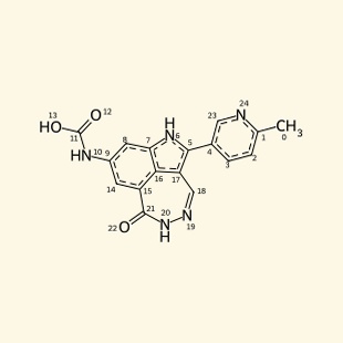 Cc1ccc(-c2[nH]c3cc(NC(=O)O)cc4c3c2C=NNC4=O)cn1